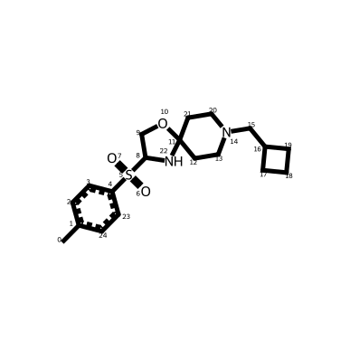 Cc1ccc(S(=O)(=O)C2COC3(CCN(CC4CCC4)CC3)N2)cc1